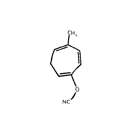 CC1=CCC=C(OC#N)C=C1